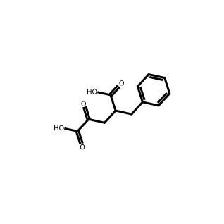 O=C(O)C(=O)CC(Cc1ccccc1)C(=O)O